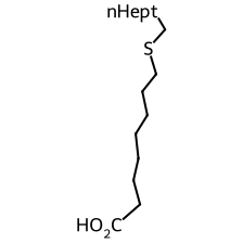 CCCCCCCCSCCCCCCCC(=O)O